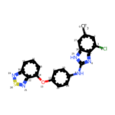 FC(F)(F)c1cc(Cl)c2nc(Nc3ccc(Oc4cccc5nsnc45)cc3)[nH]c2c1